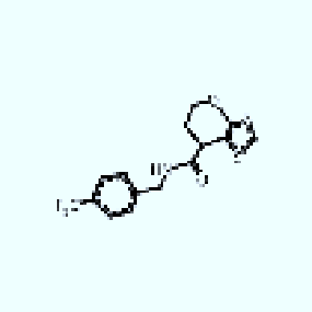 O=C(NCc1ccc(C(F)(F)F)cc1)C1CCOc2ncsc21